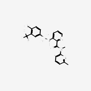 Cc1cccc(N(C)C(=O)c2ncccc2NS(=O)(=O)c2ccc(Cl)c(C(F)(F)F)c2)n1